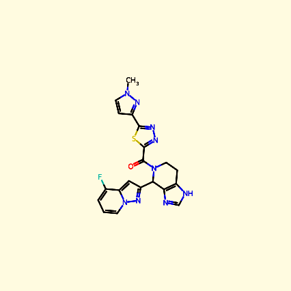 Cn1ccc(-c2nnc(C(=O)N3CCc4[nH]cnc4C3c3cc4c(F)cccn4n3)s2)n1